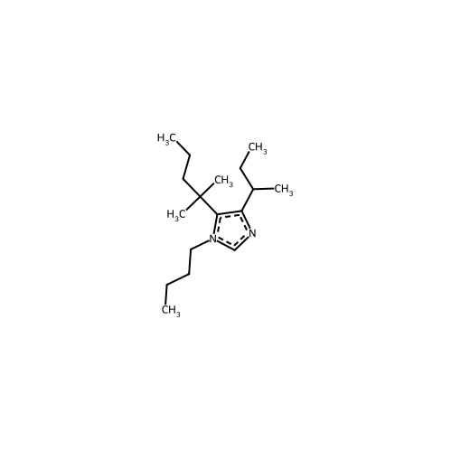 CCCCn1cnc(C(C)CC)c1C(C)(C)CCC